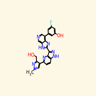 Cn1cc(-c2ccc3[nH]nc(-c4nc5c(-c6cc(O)cc(F)c6)cncc5[nH]4)c3n2)c(CO)n1